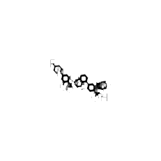 O=C(O)c1cc(F)c(-c2cccc3c2OCN(C(=O)c2c(Cl)cc(N4CCC(F)CC4)cc2Cl)C3)cc1N1C2CCC1COC2